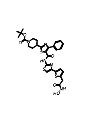 CC(C)(C)OC(=O)N1CCC(c2nc(-c3ccccc3)c(C(=O)Nc3nc(-c4ccc(CC(=O)NO)s4)cs3)s2)CC1